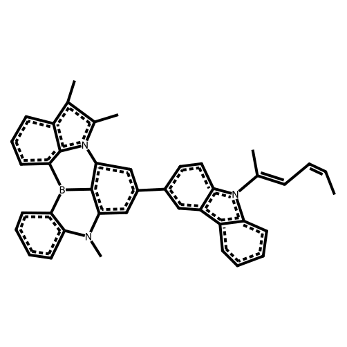 C/C=C\C=C(/C)n1c2ccccc2c2cc(-c3cc4c5c(c3)-n3c(C)c(C)c6cccc(c63)B5c3ccccc3N4C)ccc21